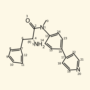 CN(C(=O)[C@H](N)Cc1ccccc1)c1ccc(-c2ccncc2)cc1